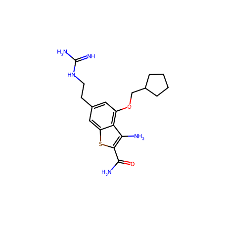 N=C(N)NCCc1cc(OCC2CCCC2)c2c(N)c(C(N)=O)sc2c1